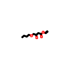 C=COC(=O)CC(=O)COCCCC